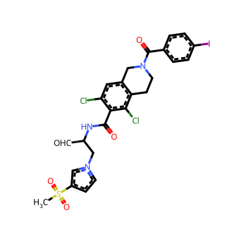 CS(=O)(=O)c1ccn(CC(C=O)NC(=O)c2c(Cl)cc3c(c2Cl)CCN(C(=O)c2ccc(I)cc2)C3)c1